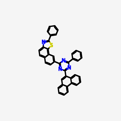 c1ccc(-c2nc(-c3ccc4ccc5nc(-c6ccccc6)sc5c4c3)nc(-c3cc4ccccc4c4ccccc34)n2)cc1